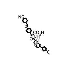 N#Cc1ccc(COc2ccc(CC(NC(=O)C3CN4C=CC(c5ccc(Cl)cc5)=CC4=N3)C(=O)O)cc2)cc1